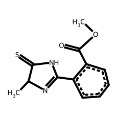 COC(=O)c1ccccc1C1=NC(C)C(=S)N1